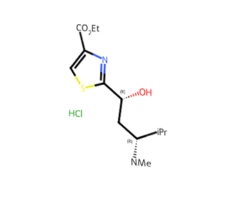 CCOC(=O)c1csc([C@H](O)C[C@@H](NC)C(C)C)n1.Cl